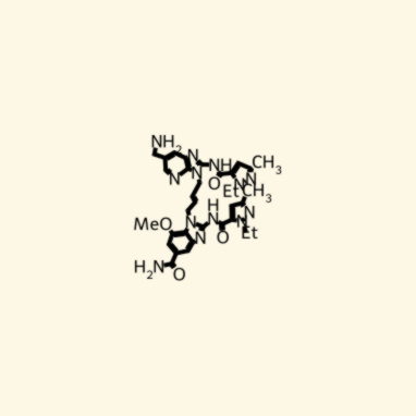 CCn1nc(C)cc1C(=O)Nc1nc2cc(CN)cnc2n1C/C=C/Cn1c(NC(=O)c2cc(C)nn2CC)nc2cc(C(N)=O)cc(OC)c21